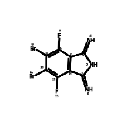 N=C1NC(=N)c2c(F)c(Br)c(Br)c(F)c21